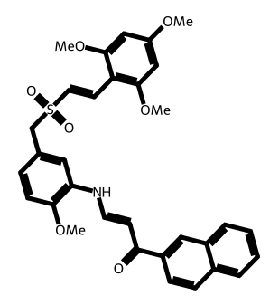 COc1cc(OC)c(C=CS(=O)(=O)Cc2ccc(OC)c(NC=CC(=O)c3ccc4ccccc4c3)c2)c(OC)c1